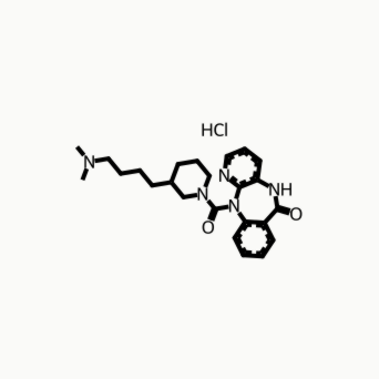 CN(C)CCCCC1CCCN(C(=O)N2c3ccccc3C(=O)Nc3cccnc32)C1.Cl